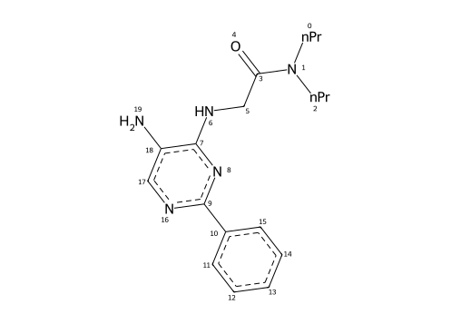 CCCN(CCC)C(=O)CNc1nc(-c2ccccc2)ncc1N